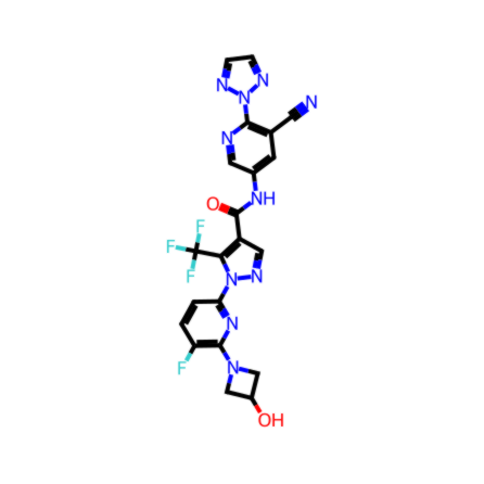 N#Cc1cc(NC(=O)c2cnn(-c3ccc(F)c(N4CC(O)C4)n3)c2C(F)(F)F)cnc1-n1nccn1